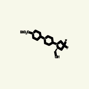 CCOC(=O)N1CCC(N2CCC(N3CC(F)(F)C[C@@H]3CO)CC2)CC1